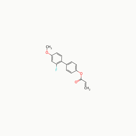 C=CC(=O)Oc1ccc(-c2ccc(OC)cc2F)cc1